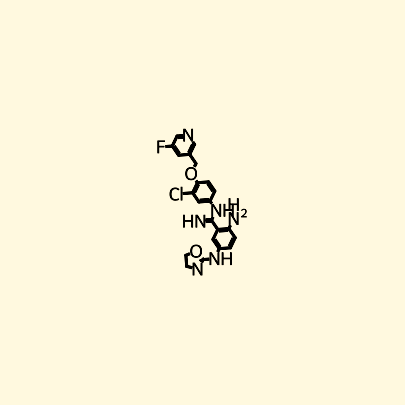 N=C(Nc1ccc(OCc2cncc(F)c2)c(Cl)c1)c1cc(NC2=NCCO2)ccc1N